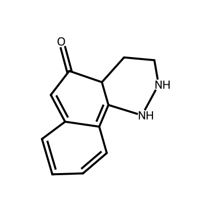 O=C1C=c2ccccc2=C2NNCCC12